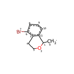 [CH2]C1OCCc2c(Br)cccc21